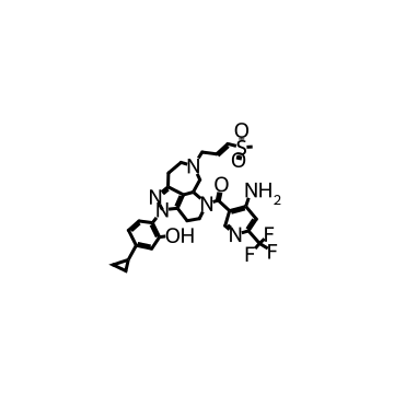 CS(=O)(=O)C=CCN1CCc2nn(-c3ccc(C4CC4)cc3O)c3c2C(C1)N(C(=O)c1cnc(C(F)(F)F)cc1N)CC3